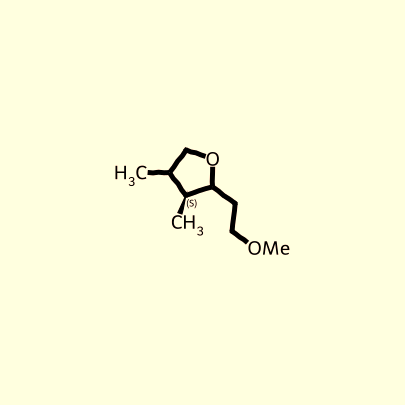 COCCC1OCC(C)[C@@H]1C